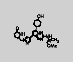 COC[C@H](C)Nc1ncc2c(-c3cnn(C[C@H]4CCC(=O)N4)c3)cc([C@H]3CC[C@H](O)CC3)n2n1